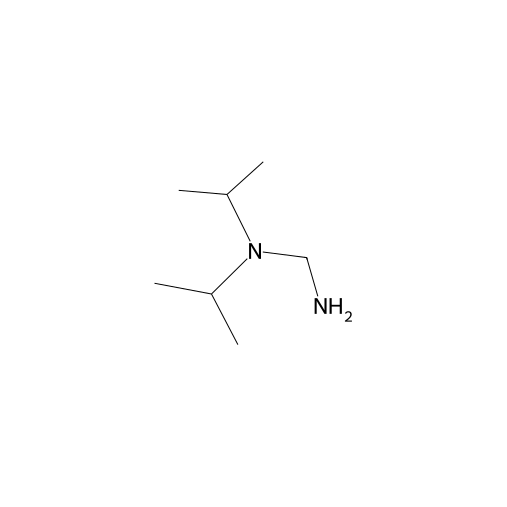 CC(C)N(CN)C(C)C